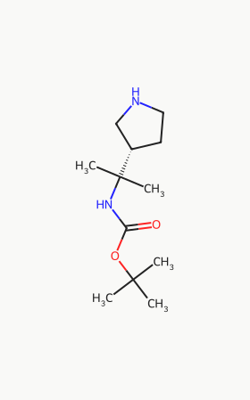 CC(C)(C)OC(=O)NC(C)(C)[C@H]1CCNC1